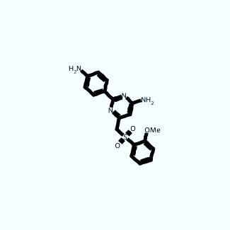 COc1ccccc1S(=O)(=O)Cc1cc(N)nc(-c2ccc(N)cc2)n1